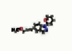 COCC#Cc1ccc2c(cnn2C2CCCCO2)c1